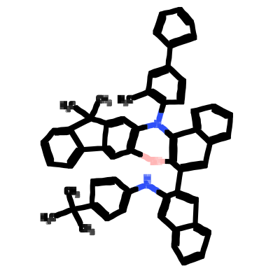 Cc1cc(-c2ccccc2)ccc1N1c2cc3c(cc2Bc2c(-c4cc5ccccc5cc4Nc4ccc(C(C)(C)C)cc4)cc4ccccc4c21)-c1ccccc1C3(C)C